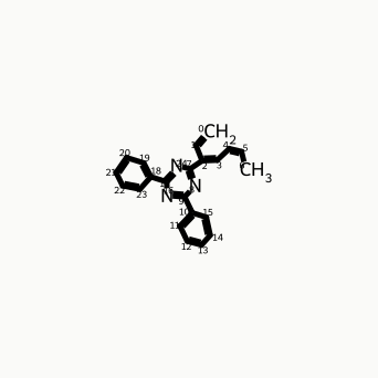 C=C/C(=C\C=C/C)c1nc(-c2ccccc2)nc(-c2ccccc2)n1